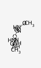 CCNC(=O)Nc1nc2cc(-c3cnc(NCCCOC)nc3)ccc2[nH]1